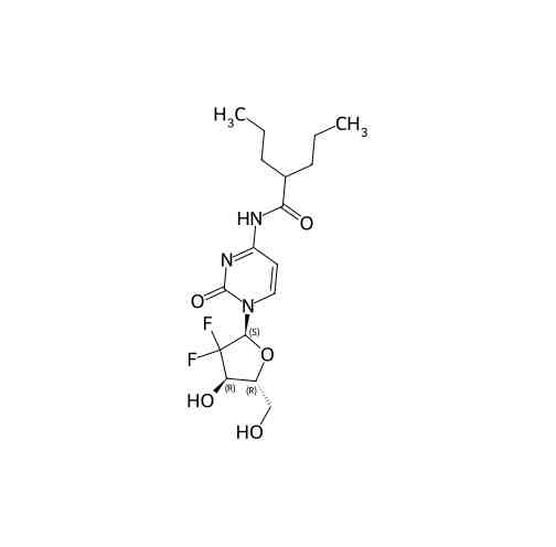 CCCC(CCC)C(=O)Nc1ccn([C@H]2O[C@H](CO)[C@@H](O)C2(F)F)c(=O)n1